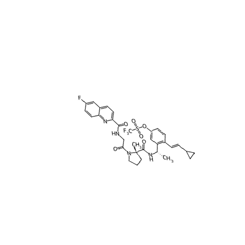 C[C@H](NC(=O)[C@]1(C)CCCN1C(=O)CNC(=O)c1ccc2cc(F)ccc2n1)c1cc(OS(=O)(=O)C(F)(F)F)ccc1/C=C/C1CC1